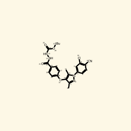 Cc1nn(-c2ccc(C#N)c(Cl)c2)c(C)c1Oc1ccc(C(=O)NNC(=O)OC(C)(C)C)cc1